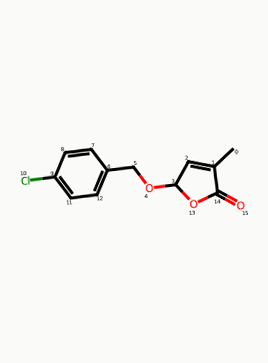 CC1=CC(OCc2ccc(Cl)cc2)OC1=O